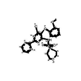 COc1ccccc1Oc1c(Cl)nc(-c2ncccn2)nc1NS(=O)(=O)N1CCOCC1